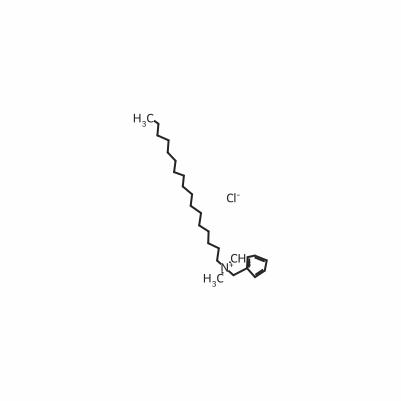 CCCCCCCCCCCCCCCCC[N+](C)(C)Cc1ccccc1.[Cl-]